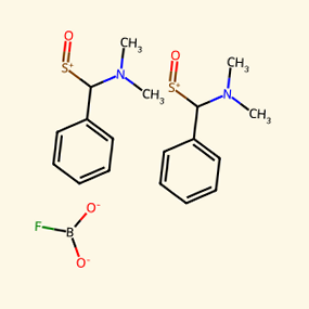 CN(C)C([S+]=O)c1ccccc1.CN(C)C([S+]=O)c1ccccc1.[O-]B([O-])F